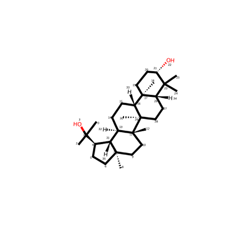 CC(C)(O)[C@@H]1CC[C@]2(C)CC[C@]3(C)[C@H](CC[C@@H]4[C@@]5(C)CC[C@H](O)C(C)(C)[C@@H]5CC[C@]43C)[C@@H]12